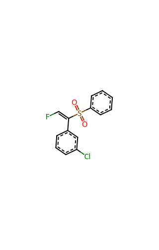 O=S(=O)(/C(=C/F)c1cccc(Cl)c1)c1ccccc1